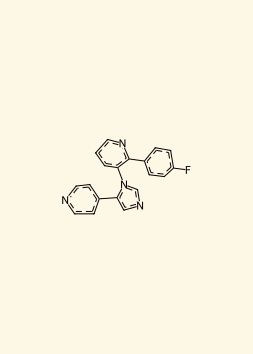 Fc1ccc(-c2ncccc2-n2cncc2-c2ccncc2)cc1